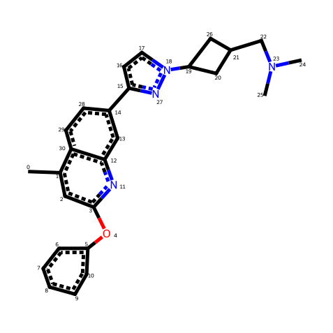 Cc1cc(Oc2ccccc2)nc2cc(-c3ccn(C4CC(CN(C)C)C4)n3)ccc12